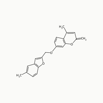 C=C1C=C(C)c2ccc(OCc3cc4cc(C)ccc4o3)cc2O1